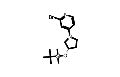 CC(C)(C)[Si](C)(C)O[C@H]1CCN(c2ccnc(Br)c2)C1